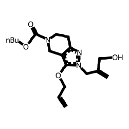 C=CCOc1c2c(nn1CC(=C)CO)CCN(C(=O)OCCCC)C2